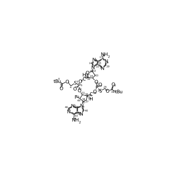 CC(C)(C)C(=O)OCSP1(=O)OC[C@H]2O[C@@H](n3cnc4c(N)ncnc43)CC2OP(=O)(SCOC(=O)C(C)(C)C)OC[C@H]2C[C@@H](n3cnc4c(N)ncnc43)C(F)C2O1